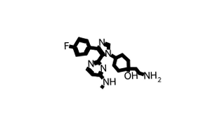 CNc1ccnc(-c2c(-c3ccc(F)cc3)ncn2C2CCC(O)(CCN)CC2)n1